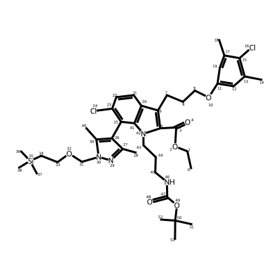 CCOC(=O)c1c(CCCOc2cc(C)c(Cl)c(C)c2)c2ccc(Cl)c(-c3c(C)nn(COCC[Si](C)(C)C)c3C)c2n1CCCNC(=O)OC(C)(C)C